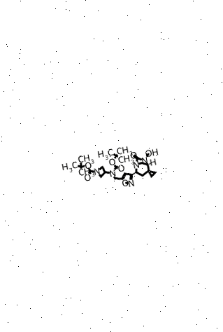 CC(C)(C)OC(=O)N1CC(N(Cc2cc([C@@H]3CC4(CC4)[C@H]4CN3C(=O)N4O)no2)C(=O)OC(C)(C)C)C1